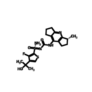 C[C@@H]1CCc2c1nc1c(c2NC(=O)N=[S@](N)(=O)c2scc(C(C)(C)O)c2F)CCC1